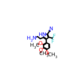 COc1ccc(-c2c(CCN)[nH]c(C#N)c2C(F)F)c(OC)c1OC